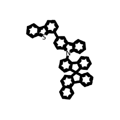 c1ccc2c(c1)-c1c(-n3c4ccccc4c4cc(-c5cccc6c5sc5ccccc56)ccc43)cccc1C21c2ccccc2-c2c1ccc1ccccc21